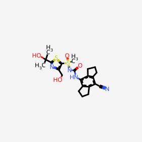 CC(C)(O)c1nc(CO)c(S(C)(=O)=NC(=O)Nc2c3c(c(C#N)c4c2CCC4)CCC3)s1